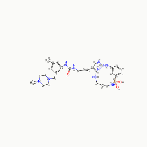 CN1CCN(Cc2cc(NC(=O)NCC#Cc3cnc4nc3NCCCNS(=O)(=O)c3cccc(c3)N4)cc(C(F)(F)F)c2)CC1